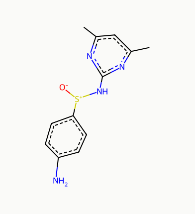 Cc1cc(C)nc(N[S+]([O-])c2ccc(N)cc2)n1